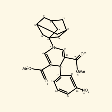 COC(=O)C1=CN(C23CC4CC(CC(C4)C2)C3)C=C(C(=O)OC)C1c1cccc([N+](=O)[O-])c1